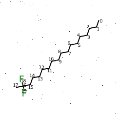 CCCCCCCCCCCCCCCCC(C)(F)F